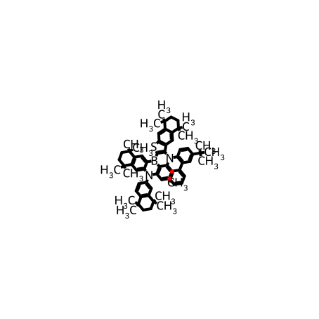 Cc1cc2c3c(c1)N(c1ccc(C(C)(C)C)cc1-c1ccccc1)c1c(sc4cc5c(cc14)C(C)(C)CCC5(C)C)B3c1cc3c(cc1N2c1ccc2c(c1)C(C)(C)CCC2(C)C)C(C)(C)CCC3(C)C